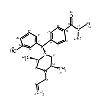 C=CCN1C[C@@H](C)N([C@H](c2ccc(C(=O)N(CC)CC)cc2)c2cccc(O)c2)C[C@H]1C